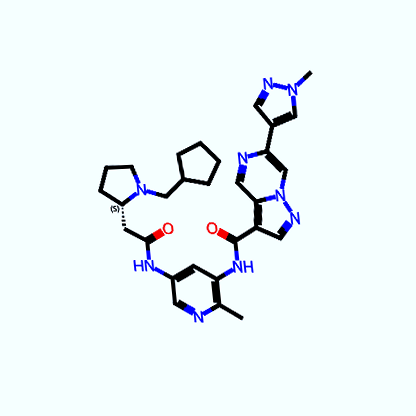 Cc1ncc(NC(=O)C[C@@H]2CCCN2CC2CCCC2)cc1NC(=O)c1cnn2cc(-c3cnn(C)c3)ncc12